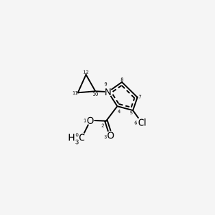 COC(=O)c1c(Cl)ccn1C1CC1